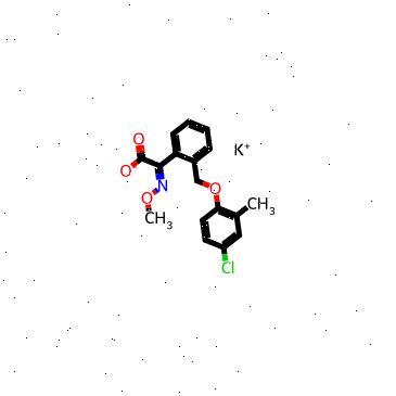 CON=C(C(=O)[O-])c1ccccc1COc1ccc(Cl)cc1C.[K+]